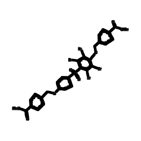 COC(=O)c1ccc(COc2ccc(S(=O)(=O)c3c(Br)c(Br)c(OCc4ccc(C(=O)OC)cc4)c(Br)c3Br)cc2)cc1